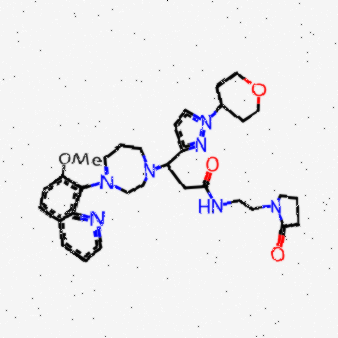 COc1ccc2cccnc2c1N1CCCN(C(CC(=O)NCCN2CCCC2=O)c2ccn(C3CCOCC3)n2)CC1